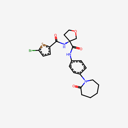 O=C(N[C@@]1(C(=O)Nc2ccc(N3CCCCCC3=O)cc2)CCOC1)c1ccc(Br)s1